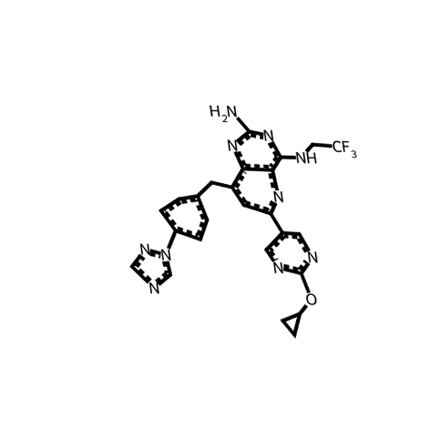 Nc1nc(NCC(F)(F)F)c2nc(-c3cnc(OC4CC4)nc3)cc(Cc3ccc(-n4cncn4)cc3)c2n1